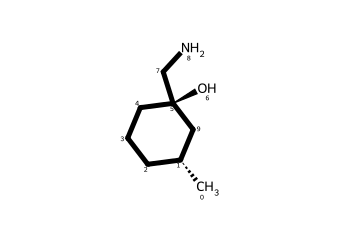 C[C@@H]1CCC[C@](O)(CN)C1